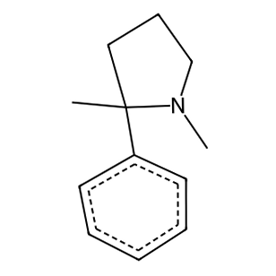 CN1CCCC1(C)c1ccccc1